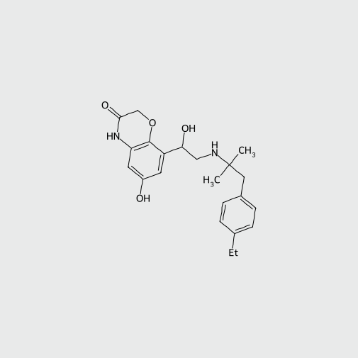 CCc1ccc(CC(C)(C)NCC(O)c2cc(O)cc3c2OCC(=O)N3)cc1